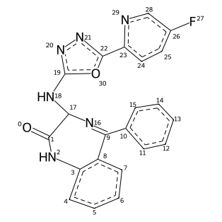 O=C1Nc2ccccc2C(c2ccccc2)=NC1Nc1nnc(-c2ccc(F)cn2)o1